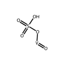 [O]=[V][O]S(=O)(=O)O